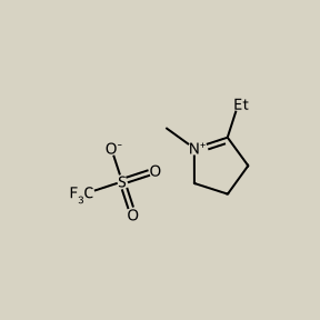 CCC1=[N+](C)CCC1.O=S(=O)([O-])C(F)(F)F